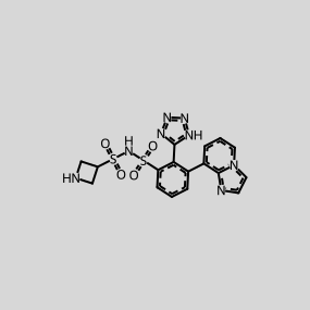 O=S(=O)(NS(=O)(=O)C1CNC1)c1cccc(-c2cccn3ccnc23)c1-c1nnn[nH]1